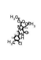 CCOC(=O)c1nn2cc(-c3ccc(C)c(Cl)c3)[nH]c(=O)c2c1COC